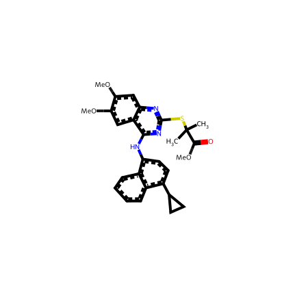 COC(=O)C(C)(C)Sc1nc(Nc2ccc(C3CC3)c3ccccc23)c2cc(OC)c(OC)cc2n1